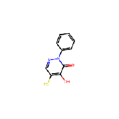 O=c1c(O)c(S)cnn1-c1ccccc1